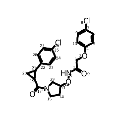 O=C(COc1ccc(Cl)cc1)NOC1CCN(C(=O)C2CC2c2ccc(Cl)cc2)C1